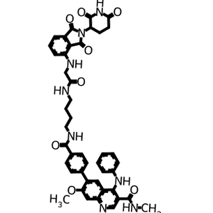 CNC(=O)c1cnc2cc(OC)c(-c3ccc(C(=O)NCCCCNC(=O)CNc4cccc5c4C(=O)N(C4CCC(=O)NC4=O)C5=O)cc3)cc2c1Nc1ccccc1